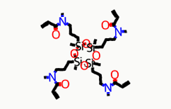 C=CC(=O)N(C)CCC[Si]1(C)O[Si](C)(CCCN(C)C(=O)C=C)O[Si](C)(CCCN(C)C(=O)C=C)O[Si](C)(CCCN(C)C(=O)C=C)O1